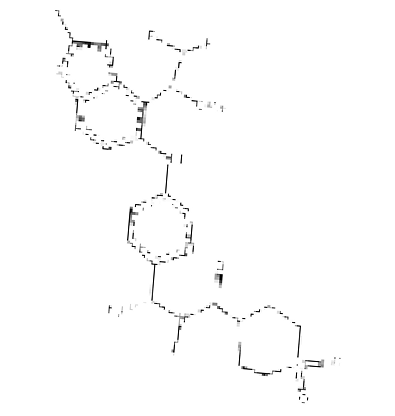 COC(c1c(Nc2ccc([C@H](N(C)C(=O)C3CCS(=O)(=O)CC3)C(F)(F)F)cc2)cnc2sc(C)nc12)C(F)F